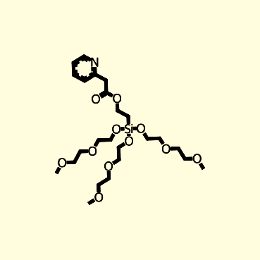 COCCOCCO[Si](CCOC(=O)Cc1ccccn1)(OCCOCCOC)OCCOCCOC